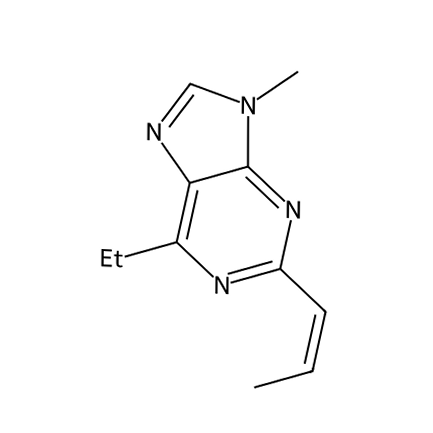 C/C=C\c1nc(CC)c2ncn(C)c2n1